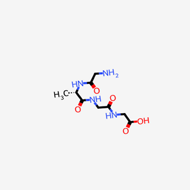 C[C@H](NC(=O)CN)C(=O)NCC(=O)NCC(=O)O